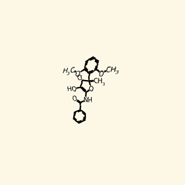 COc1cccc(OC)c1C1(C)OC(NC(=O)c2ccccc2)=C(O)C1=O